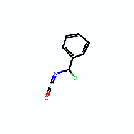 O=C=NC(Cl)c1ccccc1